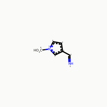 N=Cc1ccn(C(=O)O)c1